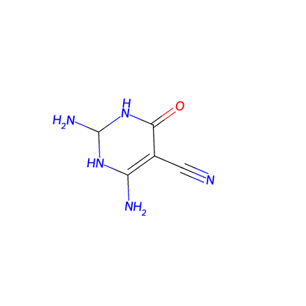 N#CC1=C(N)NC(N)NC1=O